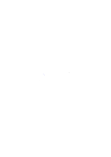 CCCCC(Cl)Cl.c1ccncc1